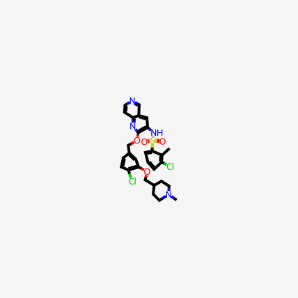 Cc1c(Cl)cccc1S(=O)(=O)Nc1cc2cnccc2nc1OCc1ccc(Cl)c(OCC2CCN(C)CC2)c1